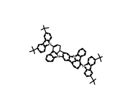 CC(C)(C)c1ccc2c(c1)c1cc(C(C)(C)C)ccc1n2C1=CCC2c3cc4c(cc3-n3c2c1c1ccccc13)c1ccc(-n2c3ccc(C(C)(C)C)cc3c3cc(C(C)(C)C)ccc32)c2c3ccccc3n4c12